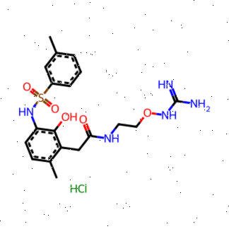 Cc1cccc(S(=O)(=O)Nc2ccc(C)c(CC(=O)NCCONC(=N)N)c2O)c1.Cl